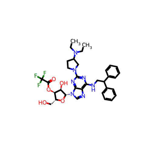 CCN(CC)C1CCN(c2nc(NCC(c3ccccc3)c3ccccc3)c3ncn([C@@H]4O[C@H](CO)[C@@H](OC(=O)C(F)(F)F)[C@H]4O)c3n2)C1